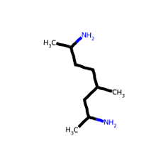 CC(N)CCC(C)CC(C)N